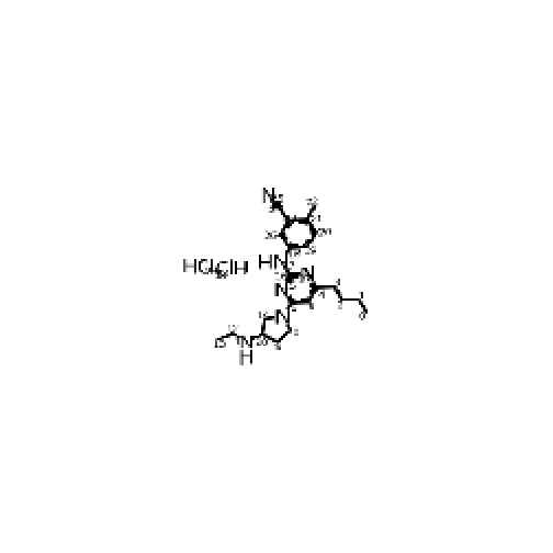 CCCCc1cc(N2CCC(NCC)C2)nc(Nc2ccc(C)c(C#N)c2)n1.Cl.Cl